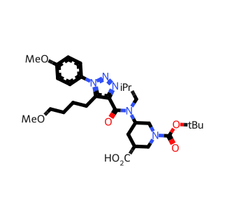 COCCCCc1c(C(=O)N(CC(C)C)C2CC(C(=O)O)CN(C(=O)OC(C)(C)C)C2)nnn1-c1ccc(OC)cc1